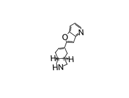 C1=C(c2cc3ncccc3o2)C[C@@H]2CNC[C@@H]2C1